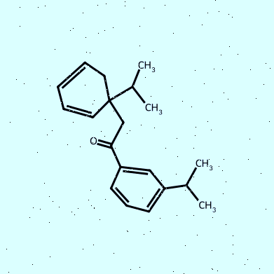 CC(C)c1cccc(C(=O)CC2(C(C)C)C=CC=CC2)c1